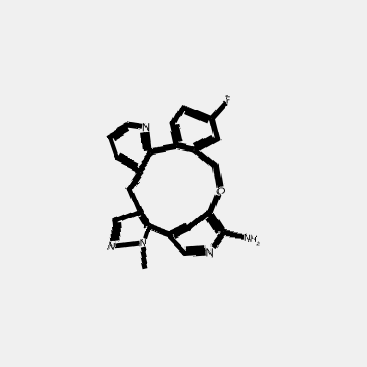 Cn1ncc2c1-c1cnc(N)c(c1)OCc1cc(F)ccc1-c1ncccc1C2